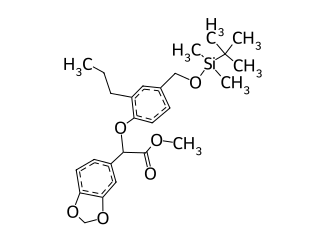 CCCc1cc(CO[Si](C)(C)C(C)(C)C)ccc1OC(C(=O)OC)c1ccc2c(c1)OCO2